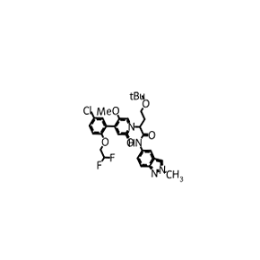 COc1cn(C(CCOC(C)(C)C)C(=O)Nc2ccc3nn(C)cc3c2)c(=O)cc1-c1cc(Cl)ccc1OCC(F)F